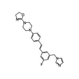 Fc1cc(C=Cc2ccc(N3CCN(C4=NCCO4)CC3)cc2)cc(Cn2ccnc2)c1